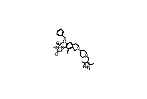 Cc1nn(C)c(C)c1CN1CCC(N2CCc3cc(OCc4ccccc4)c(N4CC(=O)NS4(=O)=O)c(F)c3C2)CC1